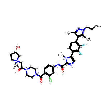 COCCn1nc(C)c(-c2ccc(-c3cnc(C(=O)Nc4ccc(C(=O)N5CCN(C(=O)C[N+]6(C)CC[C@H](O)C6)CC5)c(Cl)c4)n3C)c(F)c2F)c1C